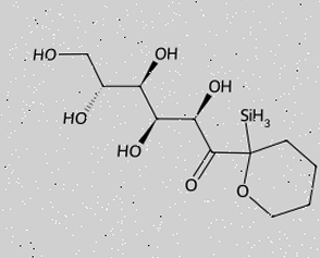 O=C([C@H](O)[C@@H](O)[C@H](O)[C@H](O)CO)C1([SiH3])CCCCO1